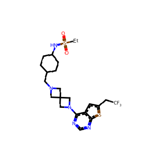 CCS(=O)(=O)NC1CCC(CN2CC3(C2)CN(c2ncnc4sc(CC(F)(F)F)cc24)C3)CC1